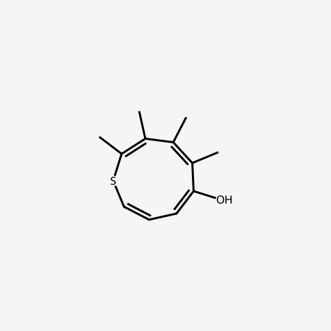 Cc1scccc(O)c(C)c(C)c1C